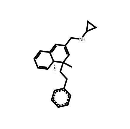 CC1(CCc2ccccc2)C=C(CNC2CC2)C=C2C=CC=C[C@@H]21